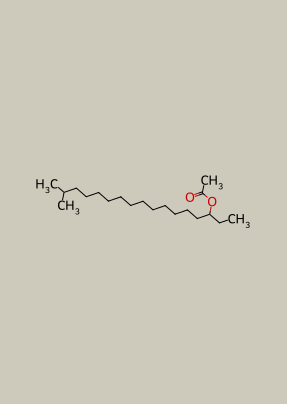 CCC(CCCCCCCCCCCCC(C)C)OC(C)=O